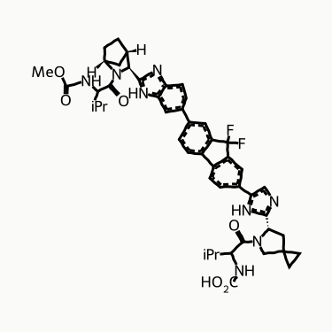 COC(=O)NC(C(=O)N1[C@@H]2CC[C@@H](C2)[C@H]1c1nc2ccc(-c3ccc4c(c3)C(F)(F)c3cc(-c5cnc([C@@H]6CC7(CC7)CN6C(=O)C(NC(=O)O)C(C)C)[nH]5)ccc3-4)cc2[nH]1)C(C)C